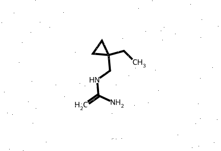 C=C(N)NCC1(CC)CC1